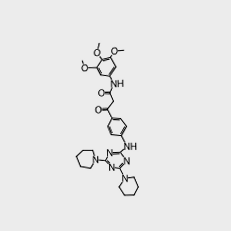 COc1cc(NC(=O)CC(=O)c2ccc(Nc3nc(N4CCCCC4)nc(N4CCCCC4)n3)cc2)cc(OC)c1OC